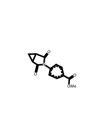 COC(=O)c1ccc(N2C(=O)C3CC3C2=O)cc1